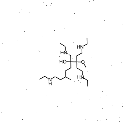 CCNCCC(C)CCC(O)(CNCC)C(CCNCC)(CCNCC)OC